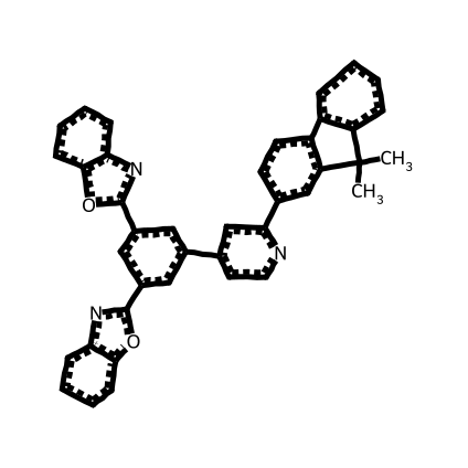 CC1(C)c2ccccc2-c2ccc(-c3cc(-c4cc(-c5nc6ccccc6o5)cc(-c5nc6ccccc6o5)c4)ccn3)cc21